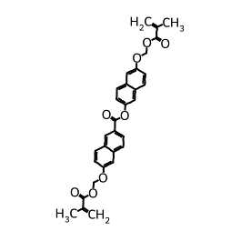 C=C(C)C(=O)OCOc1ccc2cc(OC(=O)c3ccc4cc(OCOC(=O)C(=C)C)ccc4c3)ccc2c1